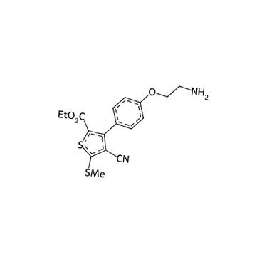 CCOC(=O)c1sc(SC)c(C#N)c1-c1ccc(OCCN)cc1